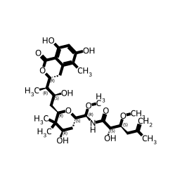 C=C(C)C[C@H](OC)[C@H](O)C(=O)N[C@H](OC)[C@@H]1C[C@@H](O)C(C)(C)[C@@H](C[C@H](O)[C@@H](C)[C@H]2Cc3c(C)c(O)cc(O)c3C(=O)O2)O1